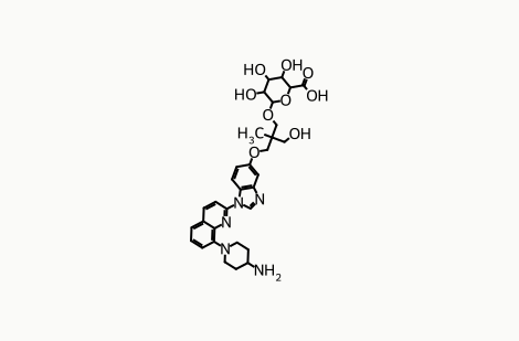 CC(CO)(COc1ccc2c(c1)ncn2-c1ccc2cccc(N3CCC(N)CC3)c2n1)COC1OC(C(=O)O)C(O)C(O)C1O